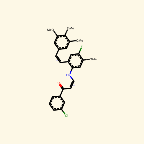 COc1cc(N/C=C\C(=O)c2cccc(Cl)c2)c(/C=C\c2cc(OC)c(OC)c(OC)c2)cc1F